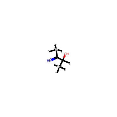 CC(O)(C(=N)[Si](C)(C)C)[Si](C)(C)C